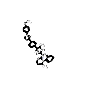 CC(C)c1ccccc1N1/C(=N/C(O)NC(C)C(F)c2ccc(-c3ncn(-c4ccc(OC(F)(F)F)cc4)n3)cc2)SCCC1C